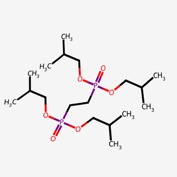 CC(C)COP(=O)(CCP(=O)(OCC(C)C)OCC(C)C)OCC(C)C